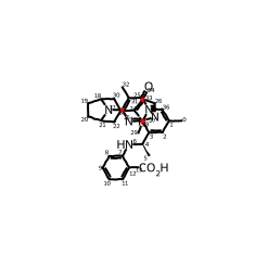 Cc1cc([C@@H](C)Nc2ccccc2C(=O)O)c2nc(N3C4CCC3CC(c3ccnn3C)C4)c(C)c(=O)n2c1